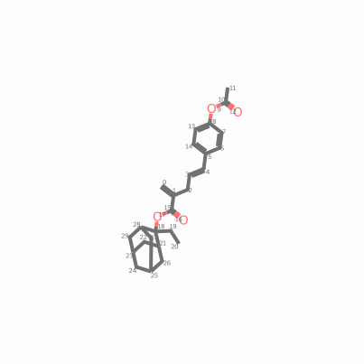 C=C(CC=Cc1ccc(OC(C)=O)cc1)C(=O)OC1(CC)C2CC3CC(C2)CC1C3